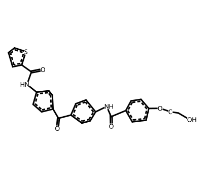 O=C(Nc1ccc(C(=O)c2ccc(NC(=O)c3cccs3)cc2)cc1)c1ccc(OCCO)cc1